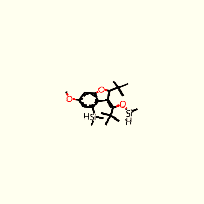 COc1cc2c(c([SiH](C)C)c1)C(=C(O[SiH](C)C)C(C)(C)C)C(C(C)(C)C)O2